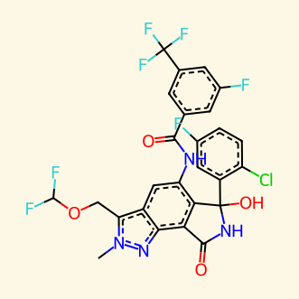 Cn1nc2c3c(c(NC(=O)c4cc(F)cc(C(F)(F)F)c4)cc2c1COC(F)F)C(O)(c1cc(F)ccc1Cl)NC3=O